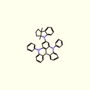 CC12CCCC1(C)N(c1cc3c4c(c1)N(c1ccccc1)c1ccccc1B4c1ccccc1N3c1ccccc1)c1ccccc12